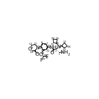 NC[C@H](C(=O)Nc1ccc(N2CCOCC2=O)c(OC(F)F)c1)N(C1CCC1)C1CCC1